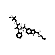 C=CCOC(=O)c1cc2cc(C(F)P(=O)(NC(C)C(=O)OCC(C)(C)OC)Oc3ccccc3)ccc2s1